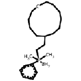 BP(C)(C)(CCC1CCCCCCCCCCC1)c1ccccc1